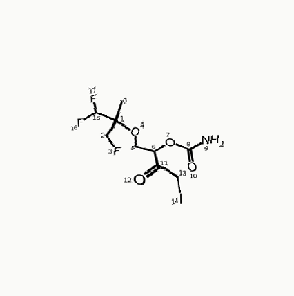 CC(CF)(OCC(OC(N)=O)C(=O)CI)C(F)F